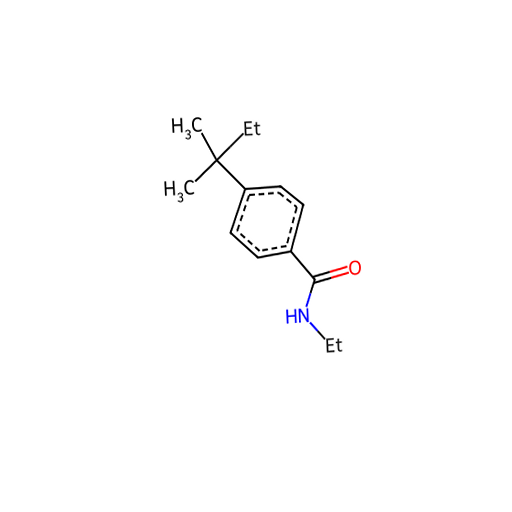 CCNC(=O)c1ccc(C(C)(C)CC)cc1